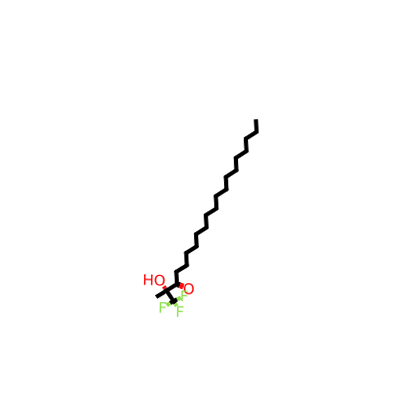 CCCCCCCCCCCCCCCCCC(=O)C(C)(O)C(F)(F)F